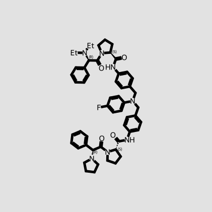 CCN(CC)[C@@H](C(=O)N1CCC[C@H]1C(=O)Nc1ccc(CN(Cc2ccc(NC(=O)[C@@H]3CCCN3C(=O)[C@@H](c3ccccc3)N3CCCC3)cc2)c2ccc(F)cc2)cc1)c1ccccc1